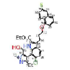 CCOC(=O)c1[nH]c2c(-c3c(CC)nn(C)c3CO)c(Cl)ccc2c1CCCOc1cccc2cc(F)ccc12